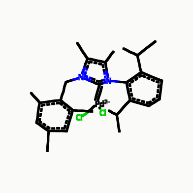 Cc1cc(C)c(Cn2c(C)c(C)n(-c3c(C(C)C)cccc3C(C)C)[c]2=[Pd-2]([Cl])[Cl])c(C)c1